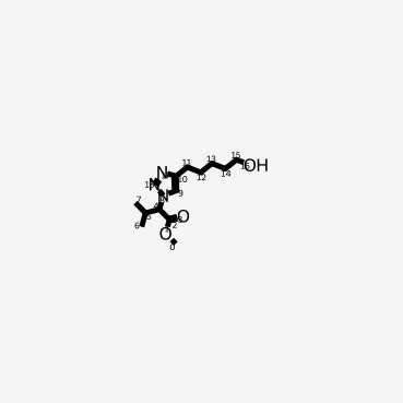 COC(=O)C(C(C)C)n1cc(CCCCCO)nn1